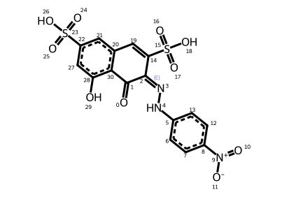 O=C1/C(=N\Nc2ccc([N+](=O)[O-])cc2)C(S(=O)(=O)O)=Cc2cc(S(=O)(=O)O)cc(O)c21